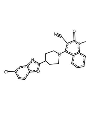 Cn1c(=O)c(C#N)c(N2CCC(c3nc4cc(Cl)ccc4o3)CC2)c2ccccc21